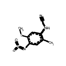 COc1cc(NC#N)c(C)cc1N=S(=O)=O